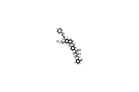 COc1cc2c(Oc3ccc(N(S)C(=O)NC(=O)Cc4ccccc4F)cc3Cl)ccnc2cc1OCCCN1CCOCC1